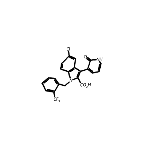 O=C(O)c1c(-c2ccc[nH]c2=O)c2cc(Cl)ccc2n1Cc1ccccc1C(F)(F)F